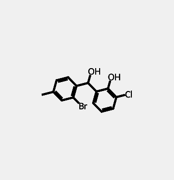 Cc1ccc(C(O)c2cccc(Cl)c2O)c(Br)c1